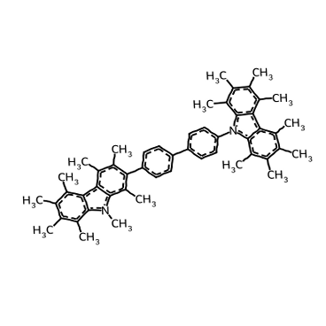 Cc1c(C)c(C)c2c(c1C)c1c(C)c(C)c(-c3ccc(-c4ccc(-n5c6c(C)c(C)c(C)c(C)c6c6c(C)c(C)c(C)c(C)c65)cc4)cc3)c(C)c1n2C